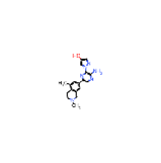 Cc1cc(-c2cnc(N)c(-n3cc(O)cn3)n2)cc2c1CCN(C)C2